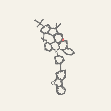 CC(C)(C)c1cc(C(C)(C)C)c2c(c1)C(C)(C)c1cccc(-c3ccccc3N(c3ccc(-c4ccc5c(c4)oc4ccccc45)cc3)c3cccc4ccccc34)c1-2